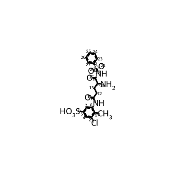 Cc1c(Cl)cc(S(=O)(=O)O)cc1NC(=O)CC[C@H](N)C(=O)NS(=O)(=O)c1ccccc1